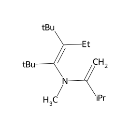 C=C(C(C)C)N(C)/C(=C(\CC)C(C)(C)C)C(C)(C)C